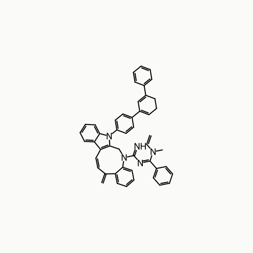 C=CN(C)/C(=N\C(=N)N1Cc2c(c3ccccc3n2-c2ccc(C3=CCCC(c4ccccc4)=C3)cc2)/C=C\C(=C)c2ccccc21)c1ccccc1